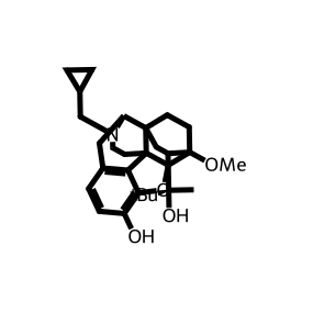 COC12CCC3(CC1[C@](C)(O)C(C)(C)C)C1Cc4ccc(O)c5c4C3(CCN1CC1CC1)C2O5